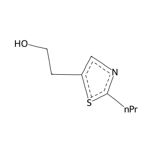 CCCc1ncc(CCO)s1